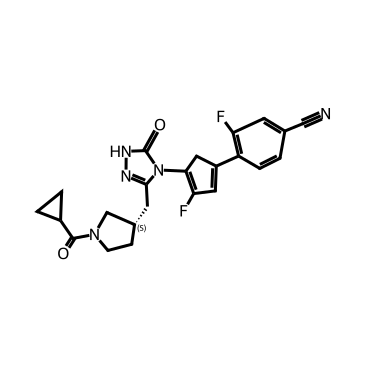 N#Cc1ccc(C2=CC(F)=C(n3c(C[C@@H]4CCN(C(=O)C5CC5)C4)n[nH]c3=O)C2)c(F)c1